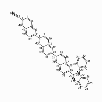 N#Cc1ccc2cc(-c3ccc4cc(-c5ccc6cc(-c7nc8ccccc8n7-c7ccccc7)ccc6c5)ccc4c3)ccc2c1